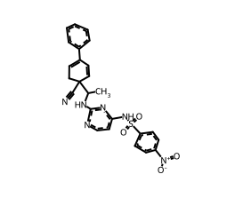 CC(Nc1nccc(NS(=O)(=O)c2ccc([N+](=O)[O-])cc2)n1)C1(C#N)C=CC(c2ccccc2)=CC1